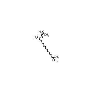 CC(C)=COCCCCCCOCCCCC(C)OC=C(C)C